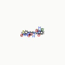 O=C1CSc2ccc(N3CC(CNCCn4c(=O)[nH]c5c(Cl)cccc5c4=O)OC3=O)cc2N1